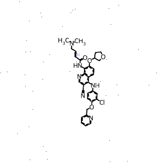 CN(C)C/C=C/C(=O)Nc1c(OC2CCOC2)ccc2c(Nc3ccc(OCc4ccccn4)c(Cl)c3)c(C#N)cnc12